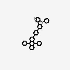 C1=CCC(n2c3ccncc3c3cc(-c4ccc(-c5ccc6c(-c7ccccc7)c7ccccc7c(-c7ccccc7)c6c5)cc4)ccc32)C=C1